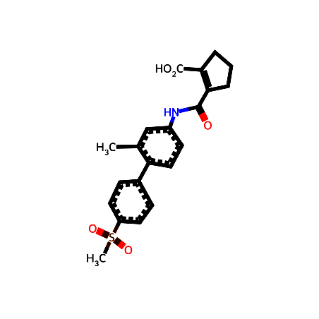 Cc1cc(NC(=O)C2=C(C(=O)O)CCC2)ccc1-c1ccc(S(C)(=O)=O)cc1